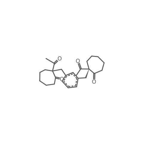 CC(=O)C1(Cc2cccc(C[C@@]3(C(C)=O)CCCCCC3=O)c2)CCCCCC1=O